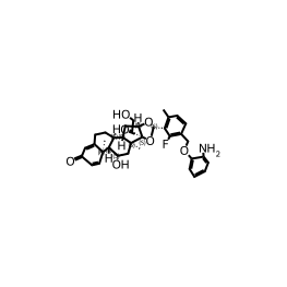 Cc1ccc(COc2ccccc2N)c(F)c1[C@H]1O[C@@H]2C[C@H]3[C@@H]4CCC5=CC(=O)C=C[C@]5(C)[C@H]4[C@@H](O)C[C@]3(C)[C@]2(C(=O)CO)O1